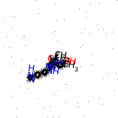 C=CCn1c(=O)c2cnc(Nc3ccc(C4CCC(C5=NCCN5)CC4)cc3)nc2n1-c1cccc(C(C)(C)O)n1